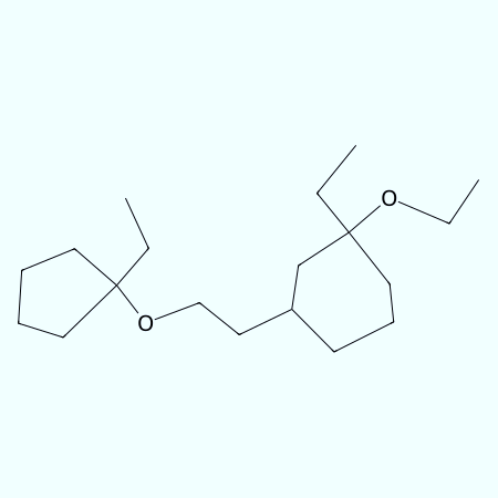 CCOC1(CC)CCCC(CCOC2(CC)CCCC2)C1